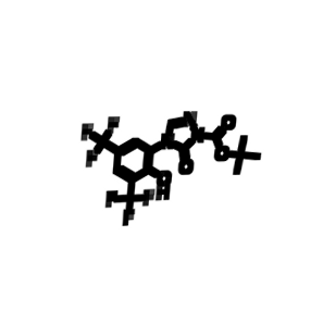 CC(C)(C)OC(=O)n1ncn(-c2cc(C(F)(F)F)cc(C(F)(F)F)c2O)c1=O